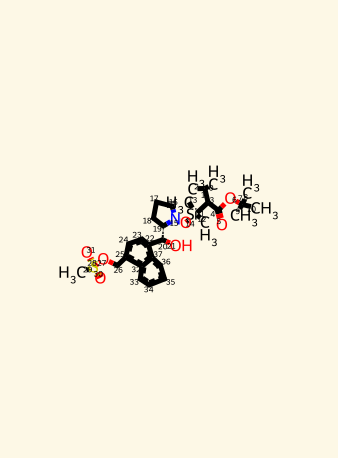 CC(C)C(C(=O)OC(C)(C)C)[Si](C)(C)ON1CCC[C@H]1C(O)c1ccc(COS(C)(=O)=O)c2ccccc12